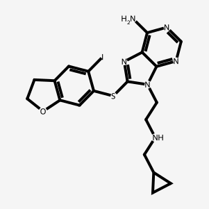 Nc1ncnc2c1nc(Sc1cc3c(cc1I)CCO3)n2CCNCC1CC1